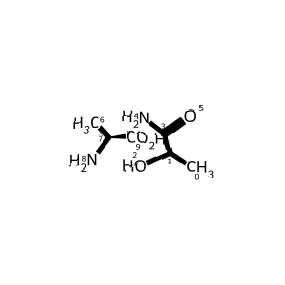 CC(O)C(N)=O.C[C@H](N)C(=O)O